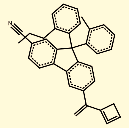 C=C(C1=C=CC1)c1ccc2c(c1)-c1ccc(C#N)cc1C2(c1ccccc1C)c1ccccc1CCC